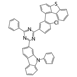 Clc1ccc(-c2nc(-c3ccccc3)nc(-c3ccc4c5ccccc5n(-c5ccccc5)c4c3)n2)cc1-c1cccc2sc3ccccc3c12